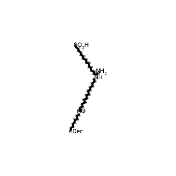 CCCCCCCCCCCCCCCCCCOC(=O)CCCCCCCCCCCCCCCNC(CN)CCCCCCCCCCCCCCCC(=O)O